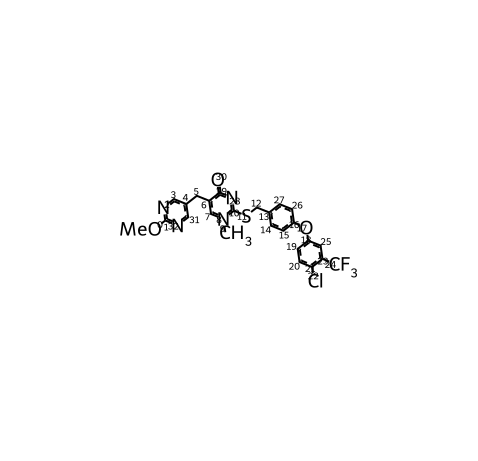 COc1ncc(Cc2cn(C)c(SCc3ccc(Oc4ccc(Cl)c(C(F)(F)F)c4)cc3)nc2=O)cn1